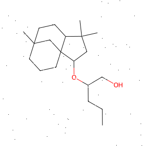 CCCC(CO)OC1CC(C)(C)C2CCC3(C)CCCC12C3